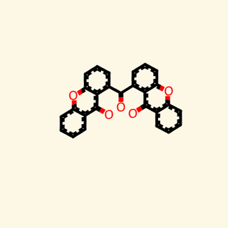 O=C(c1cccc2oc3ccccc3c(=O)c12)c1cccc2oc3ccccc3c(=O)c12